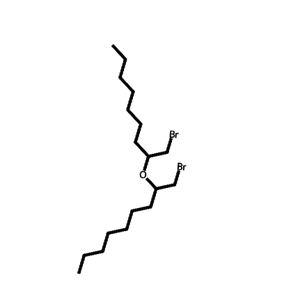 CCCCCCCC(CBr)OC(CBr)CCCCCCC